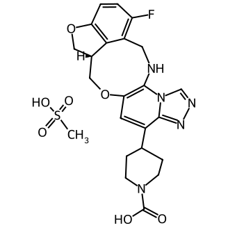 CS(=O)(=O)O.O=C(O)N1CCC(c2cc3c(n4cnnc24)NCc2c(F)ccc4c2[C@@H](CO4)CO3)CC1